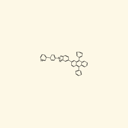 C1=CC(c2cccnc2)CC=C1n1cc2ccc(-c3ccc4c(-c5ccccc5)c5ccccc5c(-c5ccccc5)c4c3)cc2n1